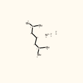 CC(C)(C)P(CCCP(C(C)(C)C)C(C)(C)C)C(C)(C)C.[I-].[I-].[Ni+2]